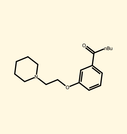 CCCCC(=O)c1cccc(OCCN2CCCCC2)c1